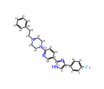 Fc1ccc(-c2c[nH]c(-c3ccc(N4CCN(CCc5ccccc5)CC4)nc3)n2)cc1